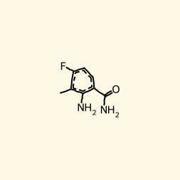 Cc1c(F)ccc(C(N)=O)c1N